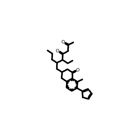 CCCC(CC1CC(=O)c2c(ccc(C3=CC=CC3)c2C)C1)C(CC)C(=O)CC(C)=O